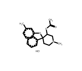 CC(=O)OC1CN(C)CCC1(Oc1cccc(C)c1)c1ccccc1.Cl